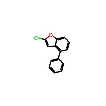 Clc1cc2c(-c3ccccc3)cccc2o1